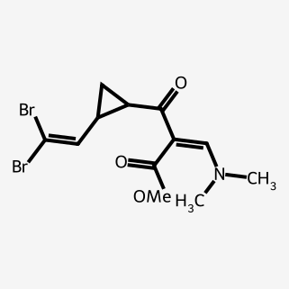 COC(=O)C(=CN(C)C)C(=O)C1CC1C=C(Br)Br